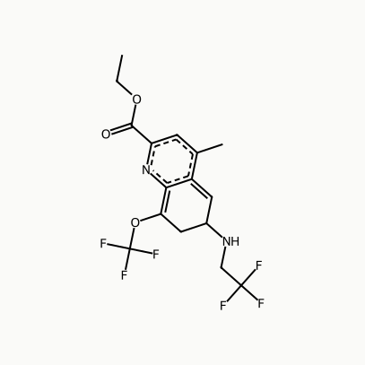 CCOC(=O)c1cc(C)c2c(n1)=C(OC(F)(F)F)CC(NCC(F)(F)F)C=2